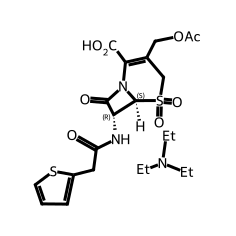 CC(=O)OCC1=C(C(=O)O)N2C(=O)[C@@H](NC(=O)Cc3cccs3)[C@@H]2S(=O)(=O)C1.CCN(CC)CC